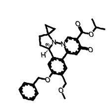 COCc1cc2c(cc1OCc1ccccc1)[C@H]1CCC3(CC3)N1n1cc(C(=O)OC(C)C)c(=O)cc1-2